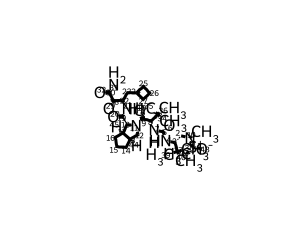 CN(C[C@@H](NC(=O)N[C@H](C(=O)N1C[C@@H]2CCC[C@@H]2[C@H]1C(=O)NC(CC1CCC1)C(=O)C(N)=O)C(C)(C)C)C(C)(C)C)[S+](C)[O-]